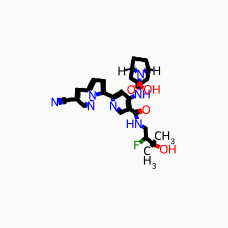 CC(C)(O)C(F)CNC(=O)c1cnc(-c2ccc3cc(C#N)cnn23)cc1NC1C[C@H]2CC[C@@H](C1)N2C(=O)O